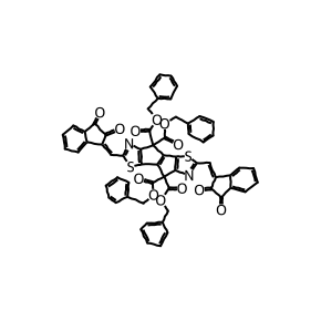 O=C1C(=O)c2ccccc2/C1=C/c1nc2c(s1)C1=C(c3sc(/C=C4\C(=O)C(=O)c5ccccc54)nc3C1(C(=O)OCc1ccccc1)C(=O)OCc1ccccc1)C2(C(=O)OCc1ccccc1)C(=O)OCc1ccccc1